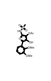 COc1cccc(-c2oc(NS(C)(=O)=O)c(OC(C)=O)c2O)c1OC